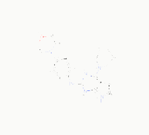 c1cc2c(N3CCCCC3)nc(Nc3ccc(N4CCOCC4)cc3)nc2[nH]1